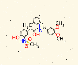 COc1ccc([C@@H](Cc2cccc(C)c2)NC[C@@H](O)Cc2ccc(O)c(NS(C)(=O)=O)c2)cc1OC